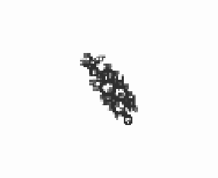 CN1C(=O)CC[C@]2(C)[C@H]3CC[C@]4(C)[C@@H](O[Si](C)(C)C)CC[C@H]4[C@@H]3CC[C@@H]12